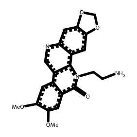 COc1cc2c(=O)n(CCN)c3c4cc5c(cc4ncc3c2cc1OC)OCO5